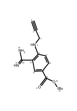 C#CCNc1ccc(C(=O)OC(C)(C)C)cc1C(=N)N